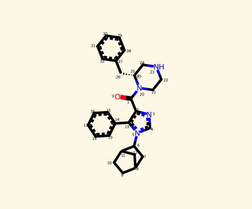 O=C(c1ncn(C2CC3CCC2C3)c1-c1ccccc1)N1CCNC[C@H]1Cc1ccccc1